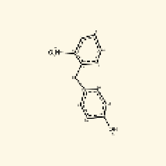 O=[N+]([O-])c1ccccc1Cc1ccc(O)cc1